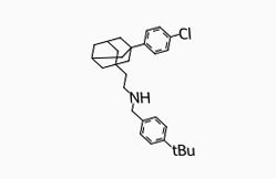 CC(C)(C)c1ccc(CNCCC23CC4CC(C2)CC(c2ccc(Cl)cc2)(C4)C3)cc1